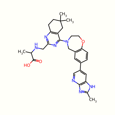 Cc1nc2ncc(-c3ccc4c(c3)CN(c3nc(CNC(C)C(=O)O)nc5c3CC(C)(C)CC5)CCO4)cc2[nH]1